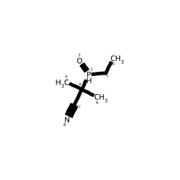 CC[PH](=O)C(C)(C)C#N